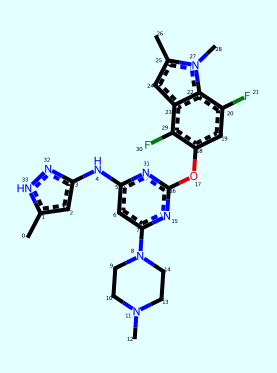 Cc1cc(Nc2cc(N3CCN(C)CC3)nc(Oc3cc(F)c4c(cc(C)n4C)c3F)n2)n[nH]1